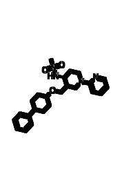 CS(=O)(=O)N[C@H]1CCN(c2ccccn2)CC1COC1CCC(c2ccccc2)CC1